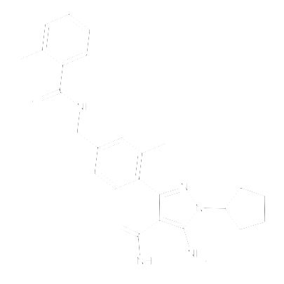 Cc1ccccc1C(=O)NCc1ccc(-c2nn(C3CCCC3)c(N)c2C(N)=O)c(C)c1